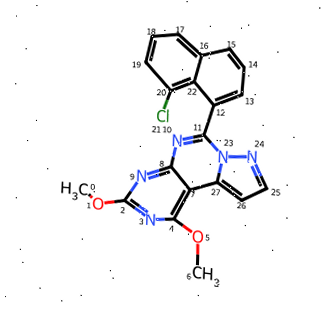 COc1nc(OC)c2c(n1)nc(-c1cccc3cccc(Cl)c13)n1nccc21